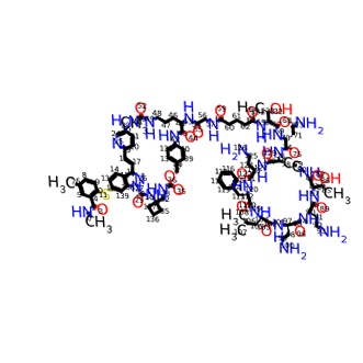 CNC(=O)c1cc(C)ccc1Sc1ccc2c(/C=C/c3ccc(C)cn3)nn(C(=O)NC3(CNC(=O)OCc4ccc(NC(=O)C(CCCNC(N)=O)NC(=O)CNC(=O)CCCC(=O)N[C@H](C(=O)N[C@H](CCN)C(=O)N[C@H]5CCNC(=O)C([C@@H](C)O)NC(=O)[C@@H](CCN)NC(=O)[C@@H](CCN)NC(=O)[C@@H](CC(C)C)NC(=O)[C@@H](Cc6ccccc6)NC(=O)C(CCN)NC5=O)[C@H](C)O)cc4)CCC3)c2c1